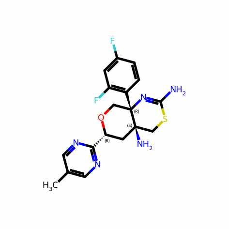 Cc1cnc([C@H]2C[C@@]3(N)CSC(N)=N[C@@]3(c3ccc(F)cc3F)CO2)nc1